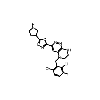 Fc1ccc(Cl)c(CN2CCNc3nnc(-c4nnc(C5CCNC5)o4)cc32)c1Cl